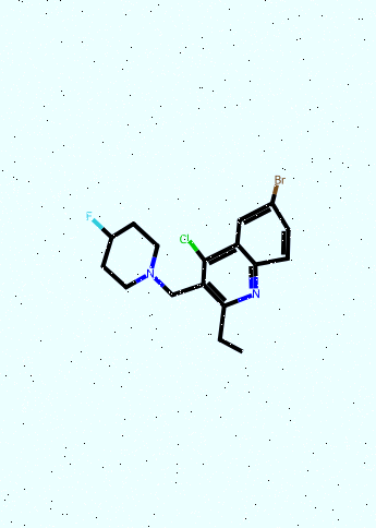 CCc1nc2ccc(Br)cc2c(Cl)c1CN1CCC(F)CC1